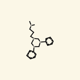 CN(C)CCCN1CN(c2ccccc2)CN(c2ccccc2)C1